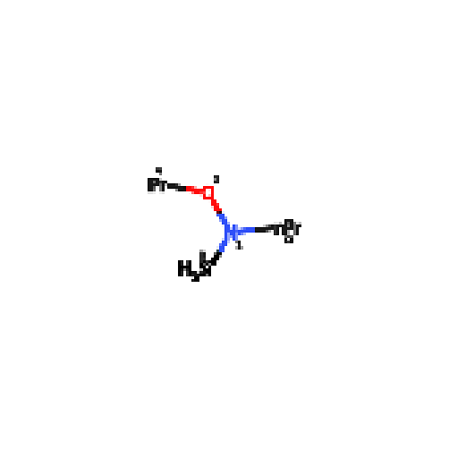 CCCN([SiH3])OC(C)C